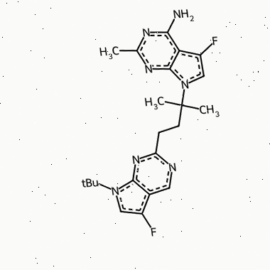 Cc1nc(N)c2c(F)cn(C(C)(C)CCc3ncc4c(F)cn(C(C)(C)C)c4n3)c2n1